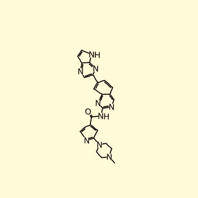 CN1CCN(c2cc(C(=O)Nc3ncc4ccc(-c5cnc6cc[nH]c6n5)cc4n3)ccn2)CC1